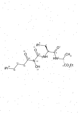 CCOC(=O)[C@@H](C)NC(=O)[C@H](CC(C)C)NC(=O)N(O)C(=O)CCCC(C)C